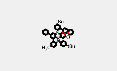 Cc1ccc2c(c1)-c1cc(-c3ccccc3)cc3c1B(c1cc4oc5ccccc5c4cc1N3c1ccc(C(C)(C)C)cc1-c1ccccc1)N2c1ccc(C(C)(C)C)cc1